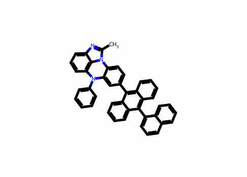 Cc1nc2cccc3c2n1-c1ccc(-c2c4ccccc4c(-c4cccc5ccccc45)c4ccccc24)cc1N3c1ccccc1